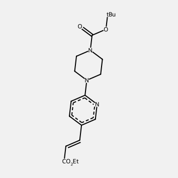 CCOC(=O)/C=C/c1ccc(N2CCN(C(=O)OC(C)(C)C)CC2)nc1